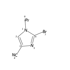 CC(C)n1cc(C#N)nc1Br